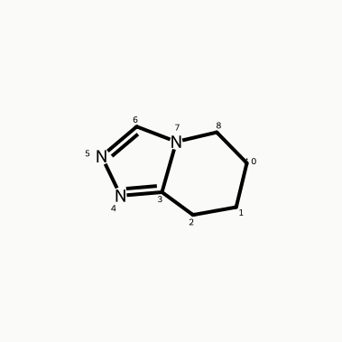 [CH]1CCc2nncn2C1